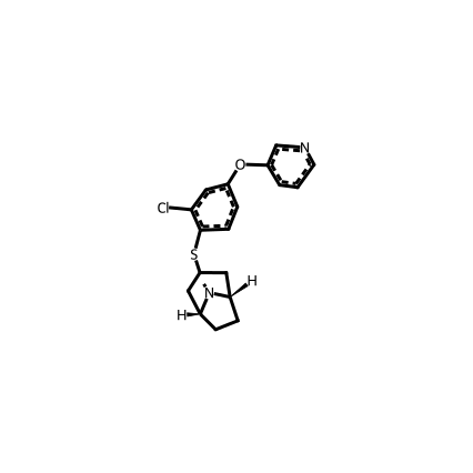 CN1[C@@H]2CC[C@H]1CC(Sc1ccc(Oc3cccnc3)cc1Cl)C2